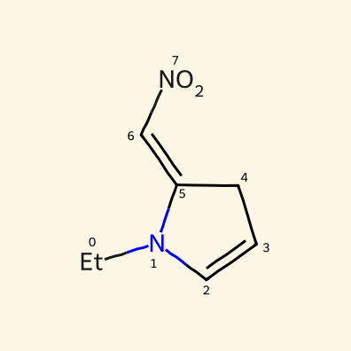 CCN1C=CCC1=C[N+](=O)[O-]